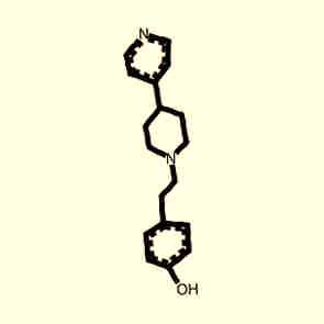 Oc1ccc(CCN2CCC(c3ccncc3)CC2)cc1